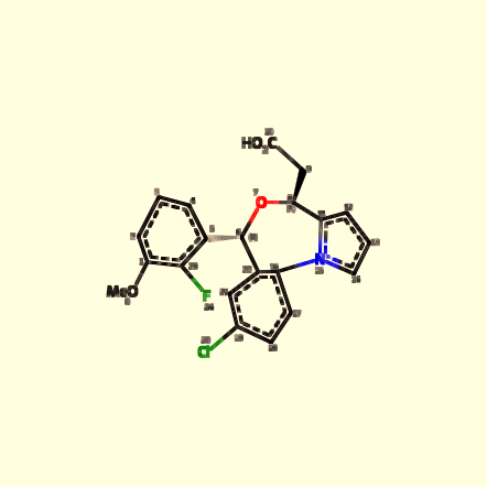 COc1cccc([C@@H]2O[C@@H](CC(=O)O)c3cccn3-c3ccc(Cl)cc32)c1F